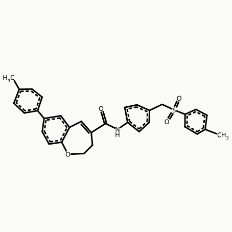 Cc1ccc(-c2ccc3c(c2)C=C(C(=O)Nc2ccc(CS(=O)(=O)c4ccc(C)cc4)cc2)CCO3)cc1